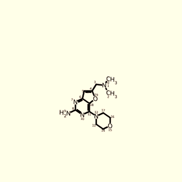 CN(C)Cc1cc2nc(N)nc(N3CCOCC3)c2o1